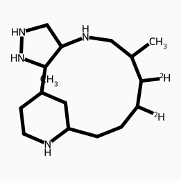 [2H]C1CCC2CC(C)(CCN2)C2NNCC2NCC(C)C1[2H]